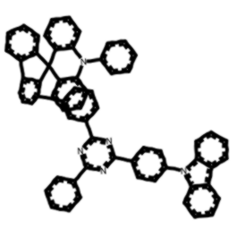 c1ccc(-c2nc(-c3ccc(-n4c5ccccc5c5ccccc54)cc3)nc(-c3cccc(-c4cccc5c4C4(c6ccccc6-5)c5ccccc5N(c5ccccc5)c5ccccc54)c3)n2)cc1